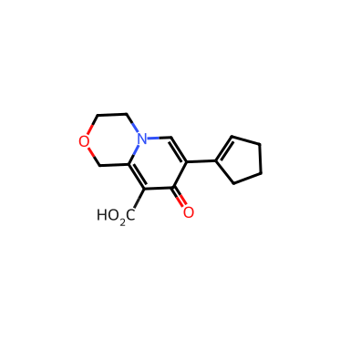 O=C(O)c1c2n(cc(C3=CCCC3)c1=O)CCOC2